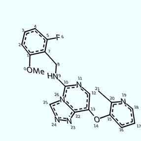 COc1cccc(F)c1CNc1ncc(Oc2cccnc2C)c2nncn12